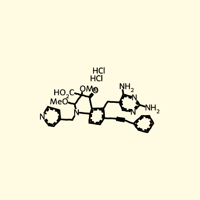 COC1N(Cc2ccncc2)c2ccc(C#Cc3ccccc3)c(Cc3cnc(N)nc3N)c2C(=O)C1(OC)C(=O)O.Cl.Cl